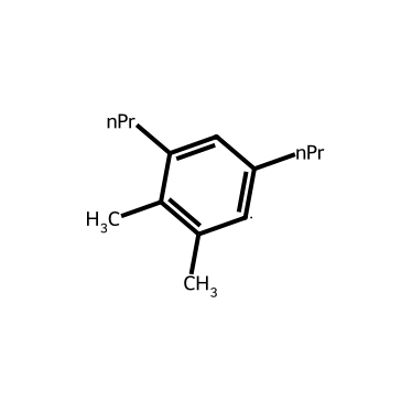 CCCc1[c]c(C)c(C)c(CCC)c1